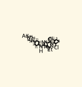 CCc1nn(-c2c(Cl)cccc2Cl)c(=O)c2cnc(Nc3ccc(N4CCN(C(C)=O)CC4)cc3)nc12